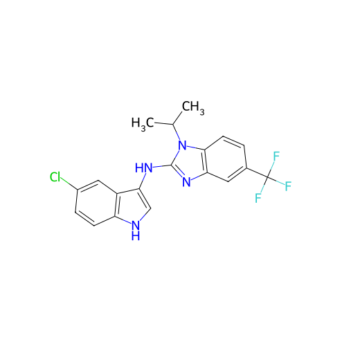 CC(C)n1c(Nc2c[nH]c3ccc(Cl)cc23)nc2cc(C(F)(F)F)ccc21